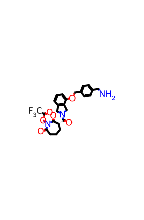 NCc1ccc(COc2cccc3c2CN(C(=O)[C@@H]2CCCC(=O)N(OC(=O)C(F)(F)F)C2=O)C3)cc1